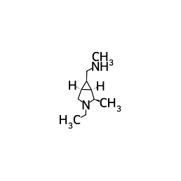 CCN1C[C@H]2C(CNC)[C@H]2[C@H]1C